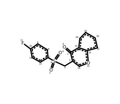 O=c1c(CS(=O)(=O)c2ccc(F)cc2)coc2ccccc12